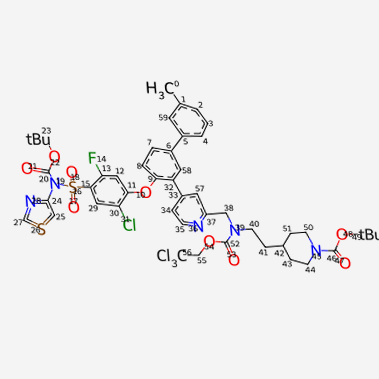 Cc1cccc(-c2ccc(Oc3cc(F)c(S(=O)(=O)N(C(=O)OC(C)(C)C)c4cscn4)cc3Cl)c(-c3ccnc(CN(CCC4CCN(C(=O)OC(C)(C)C)CC4)C(=O)OCC(Cl)(Cl)Cl)c3)c2)c1